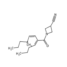 C=C(/C=C\C(=C/CCC)C(=O)N1CC(C#N)C1)CCC